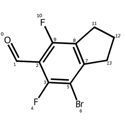 O=Cc1c(F)c(Br)c2c(c1F)CCC2